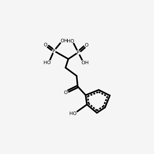 O=C(CCC(P(=O)(O)O)P(=O)(O)O)c1ccccc1O